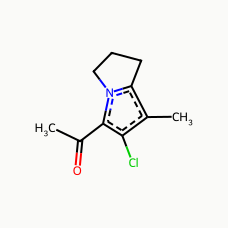 CC(=O)c1c(Cl)c(C)c2n1CCC2